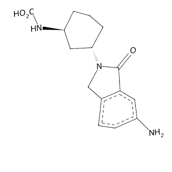 Nc1ccc2c(c1)C(=O)N([C@H]1CCC[C@H](NC(=O)O)C1)C2